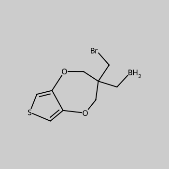 BCC1(CBr)COc2cscc2OC1